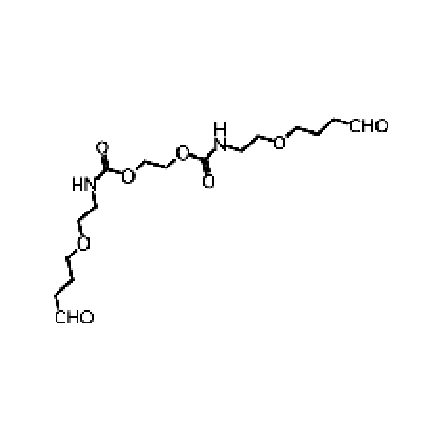 O=CCCCOCCNC(=O)OCCOC(=O)NCCOCCCC=O